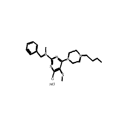 CCCCN1CCN(c2nc(N(C)Cc3ccccc3)nc(Cl)c2SC)CC1.Cl